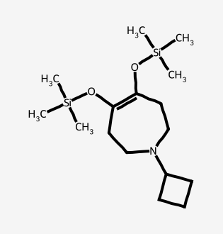 C[Si](C)(C)OC1=C(O[Si](C)(C)C)CCN(C2CCC2)CC1